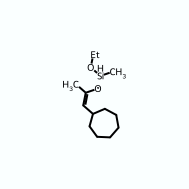 CCO[SiH](C)OC(C)=CC1CCCCCC1